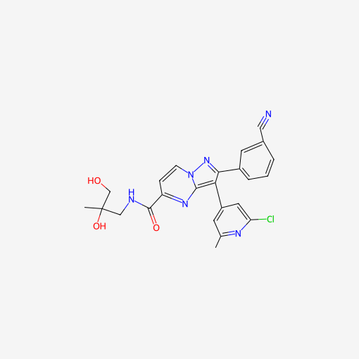 Cc1cc(-c2c(-c3cccc(C#N)c3)nn3ccc(C(=O)NCC(C)(O)CO)nc23)cc(Cl)n1